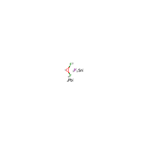 FOF.[P].[Pb].[Sn]